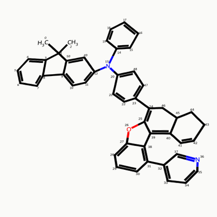 CC1(C)c2ccccc2-c2ccc(N(c3ccccc3)c3ccc(C4=c5oc6cccc(-c7cccnc7)c6c5=C5C=CCCC5C4)cc3)cc21